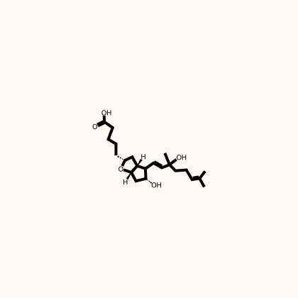 CC(C)=CCCC(C)(O)C=CC1[C@H](O)C[C@@H]2O[C@H](CCCCC(=O)O)C[C@H]12